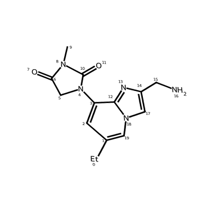 CCc1cc(N2CC(=O)N(C)C2=O)c2nc(CN)cn2c1